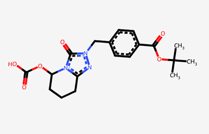 CC(C)(C)OC(=O)c1ccc(Cn2nc3n(c2=O)C(OC(=O)O)CCC3)cc1